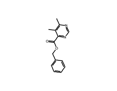 Cc1ncnc(C(=O)OCc2ccccc2)c1C